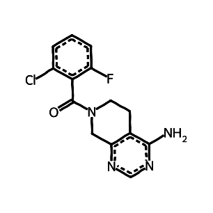 Nc1ncnc2c1CCN(C(=O)c1c(F)cccc1Cl)C2